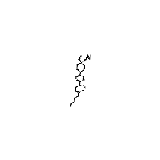 CCCCCC1CCC(c2ccc(C3CCC(C#N)(CC)CC3)cc2)CC1